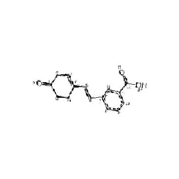 O=C1CC=C(/C=C/c2cccc(C(=O)O)c2)CC1